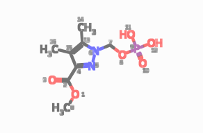 COC(=O)c1nn(COP(=O)(O)O)c(C)c1C